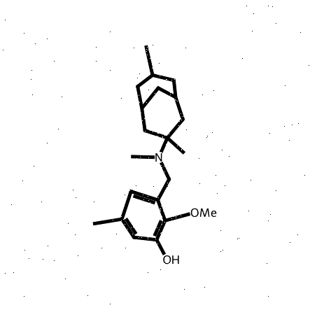 COc1c(O)cc(C)cc1CN(C)C1(C)CC2CC(C)CC(C2)C1